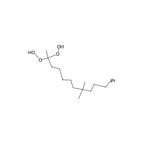 CC(C)CCCC(C)(C)CCCCCC(C)(OO)OO